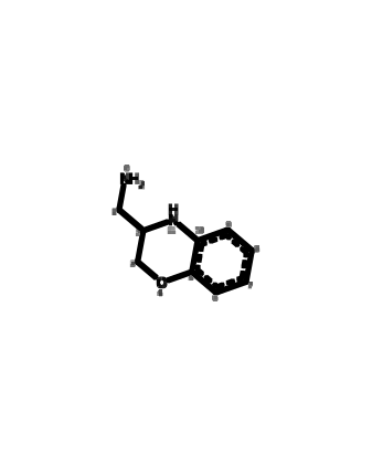 NCC1COc2ccccc2N1